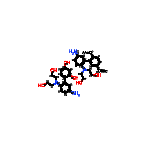 COc1ccc(OC)c(-c2cc(N)ccc2N(CCO)CCO)c1.Nc1ccc(N(CCO)CCO)c(-c2ccc(O)cc2O)c1